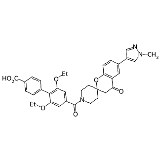 CCOc1cc(C(=O)N2CCC3(CC2)CC(=O)c2cc(-c4cnn(C)c4)ccc2O3)cc(OCC)c1-c1ccc(C(=O)O)cc1